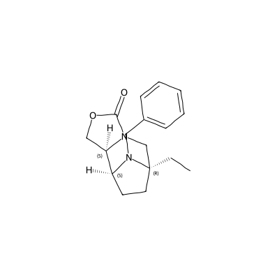 CC[C@@]12CC[C@@H]([C@H]3COC(=O)N3C1)N2Cc1ccccc1